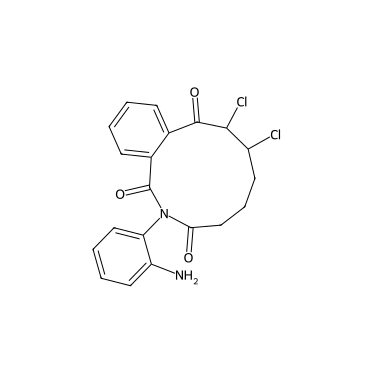 Nc1ccccc1N1C(=O)CCCC(Cl)C(Cl)C(=O)c2ccccc2C1=O